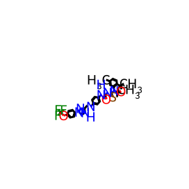 Cc1ccc(C(C)C)c(N2C(=O)CSC2=NC(=O)Nc2ccc(NCc3ncn(-c4ccc(OC(F)(F)F)cc4)n3)cc2)c1